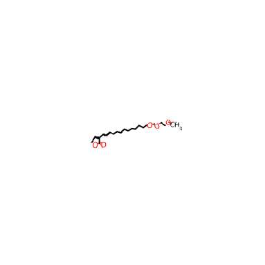 COCCOCOCCCCCCCCCCCCCC1=CCOC1=O